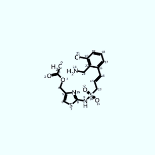 CC(=O)OCc1csc(NS(=O)(=O)CC=Cc2cccc(Cl)c2CN)n1